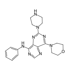 c1ccc(Nc2ncnc3c(N4CCOCC4)nc(N4CCNCC4)nc23)cc1